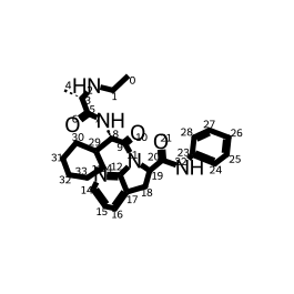 CCN[C@@H](C)C(=O)N[C@H](C(=O)N1c2ncccc2CC1C(=O)Nc1ccccc1)C1CCCCC1